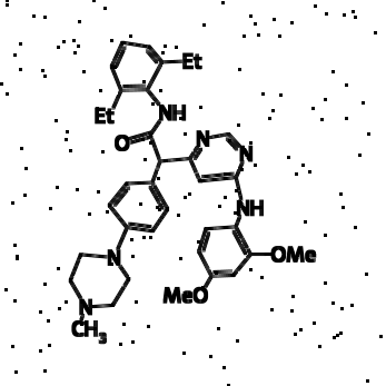 CCc1cccc(CC)c1NC(=O)C(c1ccc(N2CCN(C)CC2)cc1)c1cc(Nc2ccc(OC)cc2OC)ncn1